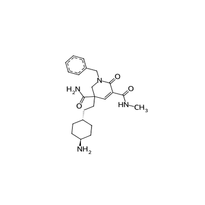 CNC(=O)C1=CC(CC[C@H]2CC[C@H](N)CC2)(C(N)=O)CN(Cc2ccccc2)C1=O